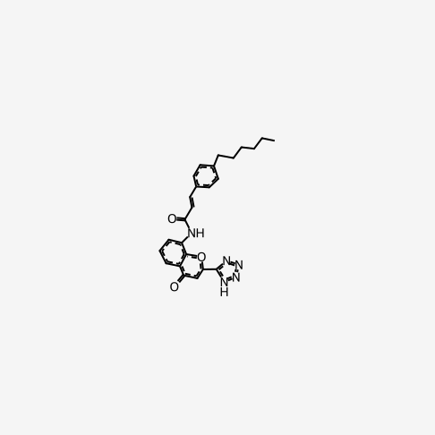 CCCCCCc1ccc(C=CC(=O)Nc2cccc3c(=O)cc(-c4nnn[nH]4)oc23)cc1